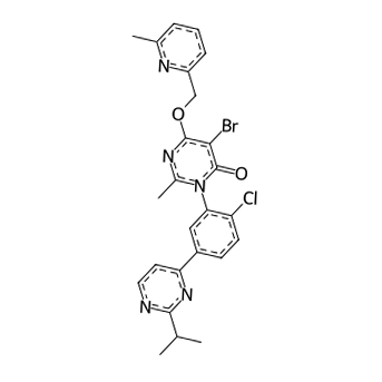 Cc1cccc(COc2nc(C)n(-c3cc(-c4ccnc(C(C)C)n4)ccc3Cl)c(=O)c2Br)n1